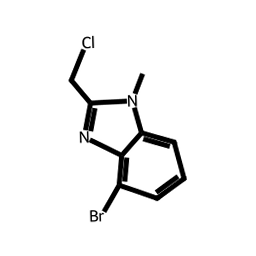 Cn1c(CCl)nc2c(Br)cccc21